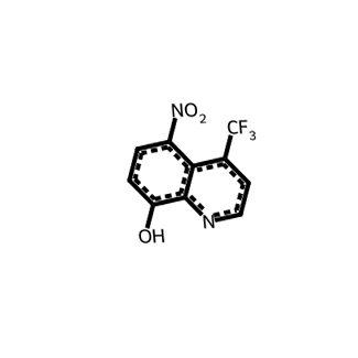 O=[N+]([O-])c1ccc(O)c2nccc(C(F)(F)F)c12